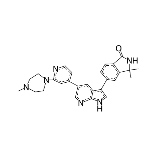 CN1CCN(c2cc(-c3cnc4[nH]cc(-c5ccc6c(c5)C(C)(C)NC6=O)c4c3)ccn2)CC1